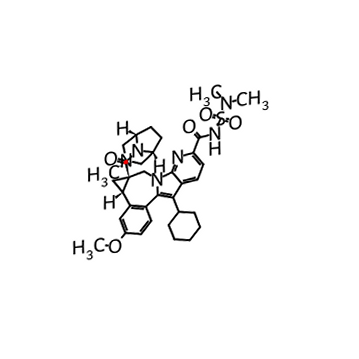 COc1ccc2c(c1)[C@@H]1C[C@]1(C(=O)N1[C@@H]3CC[C@H]1CN(C)C3)Cn1c-2c(C2CCCCC2)c2ccc(C(=O)NS(=O)(=O)N(C)C)nc21